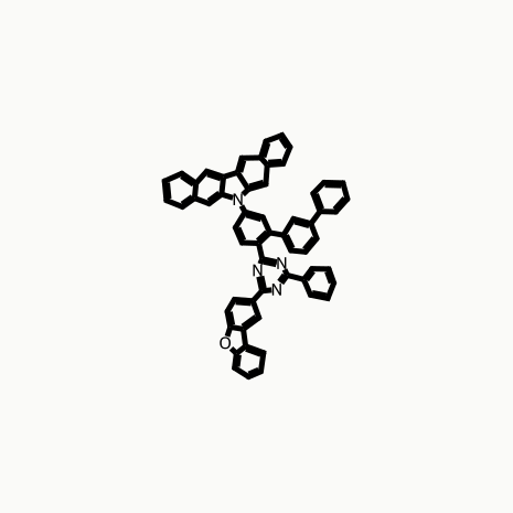 c1ccc(-c2cccc(-c3cc(-n4c5cc6ccccc6cc5c5cc6ccccc6cc54)ccc3-c3nc(-c4ccccc4)nc(-c4ccc5oc6ccccc6c5c4)n3)c2)cc1